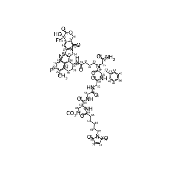 CC[C@@]1(O)C(=O)OCc2c1cc1n(c2=O)Cc2c-1nc1cc(F)c(C)c3c1c2[C@@H](NC(=O)CCCN(CC(N)=O)C(=O)[C@H](Cc1ccccc1)NC(=O)CNC(=O)CNC(=O)[C@H](CC(=O)O)NC(=O)CCCCCN1C(=O)C=CC1=O)CC3